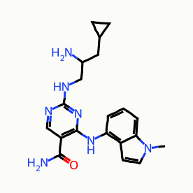 Cn1ccc2c(Nc3nc(NCC(N)CC4CC4)ncc3C(N)=O)cccc21